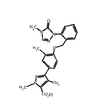 CCOC(=O)c1c(C)c(-c2ccc(OCc3ccccc3-n3nnn(C)c3=O)c(C)c2)nn1C